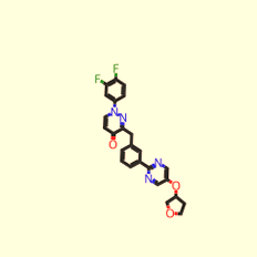 O=c1ccn(-c2ccc(F)c(F)c2)nc1Cc1cccc(-c2ncc(OC3CCOC3)cn2)c1